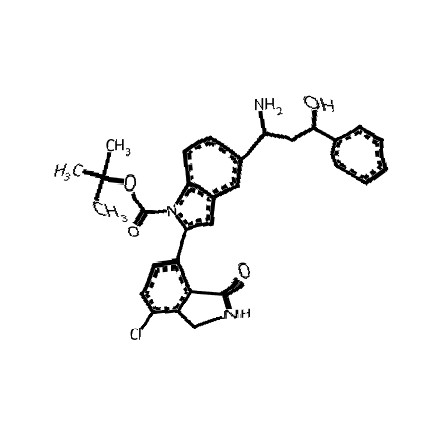 CC(C)(C)OC(=O)n1c(-c2ccc(Cl)c3c2C(=O)NC3)cc2cc(C(N)CC(O)c3ccccc3)ccc21